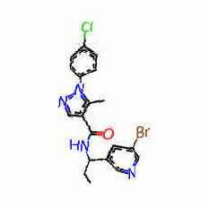 CCC(NC(=O)c1cnn(-c2ccc(Cl)cc2)c1C)c1cncc(Br)c1